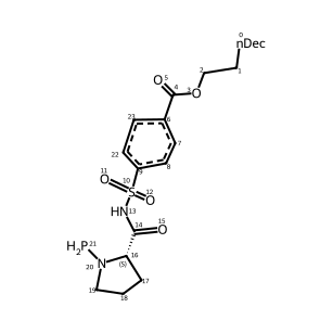 CCCCCCCCCCCCOC(=O)c1ccc(S(=O)(=O)NC(=O)[C@@H]2CCCN2P)cc1